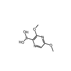 COc1cnc(B(O)O)c(OC)n1